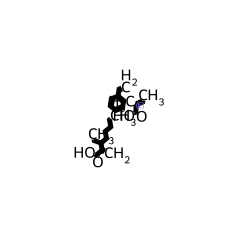 C/C=C(\C)C(=O)O.C=C(C(=O)O)C(CC)CCCCC.C=Cc1ccccc1